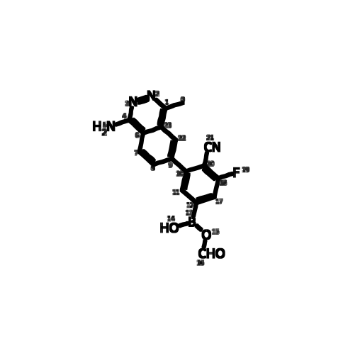 Cc1nnc(N)c2ccc(-c3cc(B(O)OC=O)cc(F)c3C#N)cc12